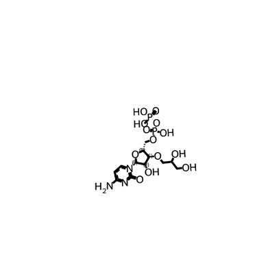 Nc1ccn([C@@H]2O[C@H](COP(=O)(O)OP(=O)(O)O)[C@@H](OCC(O)CO)[C@H]2O)c(=O)n1